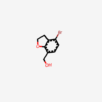 OCc1ccc(Br)c2c1OCC2